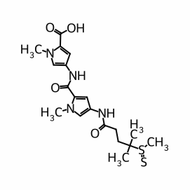 Cn1cc(NC(=O)c2cc(NC(=O)CCC(C)(C)S(C)=S)cn2C)cc1C(=O)O